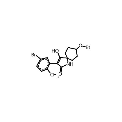 CCOC1CCC2(CC1)NC(=O)C(c1cc(Br)ccc1C)=C2O